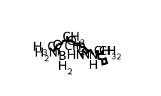 BCCC(C)(N)OCCC(C)(C)OCCOC/C(=C/NC(C)(C=C)CC1CCC1)N=N